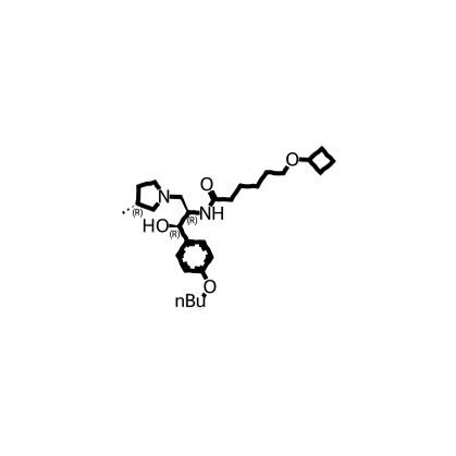 CCCCOc1ccc([C@@H](O)[C@@H](CN2CC[C@@H](C)C2)NC(=O)CCCCCOC2CCC2)cc1